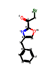 O=C(CBr)c1nc(Cc2ccccc2)co1